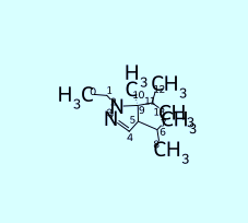 CCN1N=CC(C(C)C)[C@]1(C)C(C)C